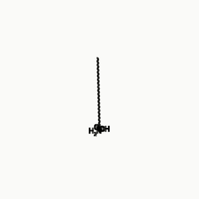 CCCCCCCCCCCCCCCCCCCCCCCCCCCCCCCCCCCCCCC(=O)N(N)O